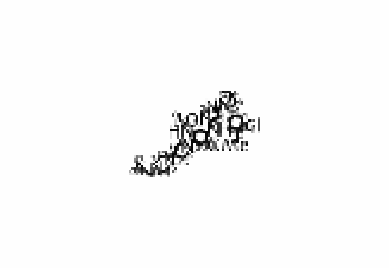 C=CC(=O)Nc1cc(Nc2cc(N3OCC[C@@H]3c3ccc(F)c(Cl)c3)ncn2)c(OC)cc1N1CCC(N2CCN(CC3CC3)CC2)CC1